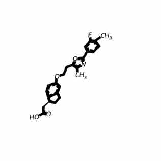 Cc1ccc(-c2nc(C)c(CCOc3ccc4c(c3)CC[C@H]4CC(=O)O)o2)cc1F